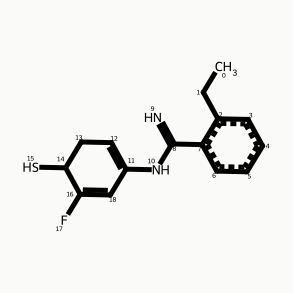 CCc1ccccc1C(=N)NC1=CCC(S)C(F)=C1